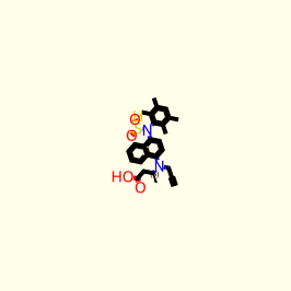 C#CCN(c1ccc(N(c2c(C)c(C)cc(C)c2C)[SH](=O)=O)c2ccccc12)[C@@H](C)CC(=O)O